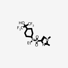 CCN(C1CCC(C(O)(C(F)(F)F)C(F)(F)F)CC1)S(=O)(=O)c1cn(C)c(C)n1